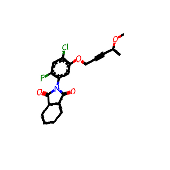 COC(C)C#CCOc1cc(N2C(=O)C3CCCCC3C2=O)c(F)cc1Cl